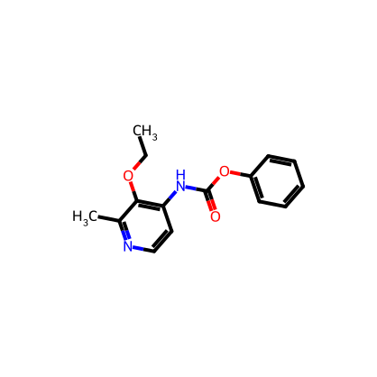 CCOc1c(NC(=O)Oc2ccccc2)ccnc1C